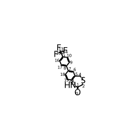 O=C1CSCc2cc(-c3ccc(C(F)(F)F)cc3)ccc2N1